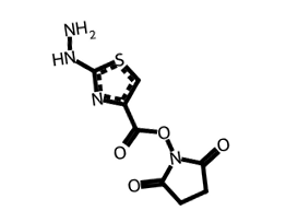 NNc1nc(C(=O)ON2C(=O)CCC2=O)cs1